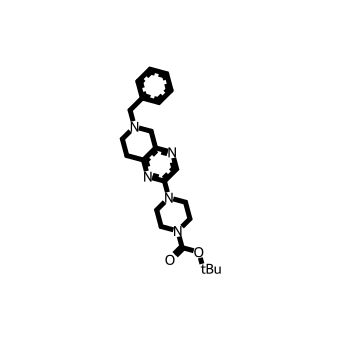 CC(C)(C)OC(=O)N1CCN(c2cnc3c(n2)CCN(Cc2ccccc2)C3)CC1